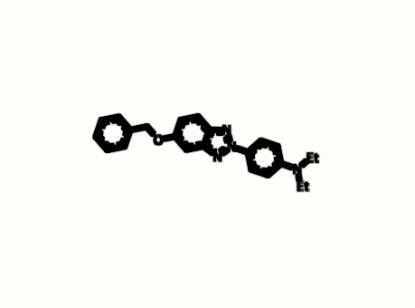 CCN(CC)c1ccc(-n2nc3ccc(OCc4ccccc4)cc3n2)cc1